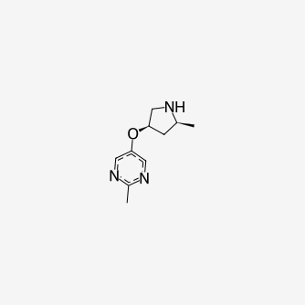 Cc1ncc(O[C@H]2CN[C@@H](C)C2)cn1